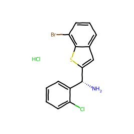 Cl.N[C@@H](c1cc2cccc(Br)c2s1)c1ccccc1Cl